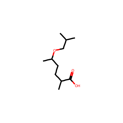 CC(C)COC(C)CCC(C)C(=O)O